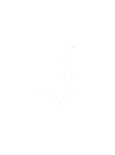 CCCCCCCOc1ccc(-c2cnc(-c3ccc(CC(CC(=O)O)NC(=O)c4ccc(C(C)(C)C)cc4)cc3)nc2)cc1